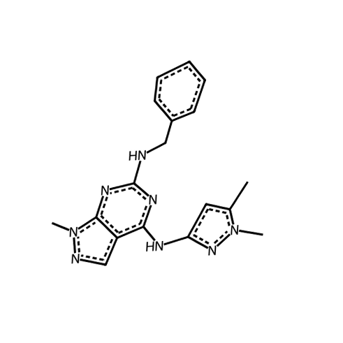 Cc1cc(Nc2nc(NCc3ccccc3)nc3c2cnn3C)nn1C